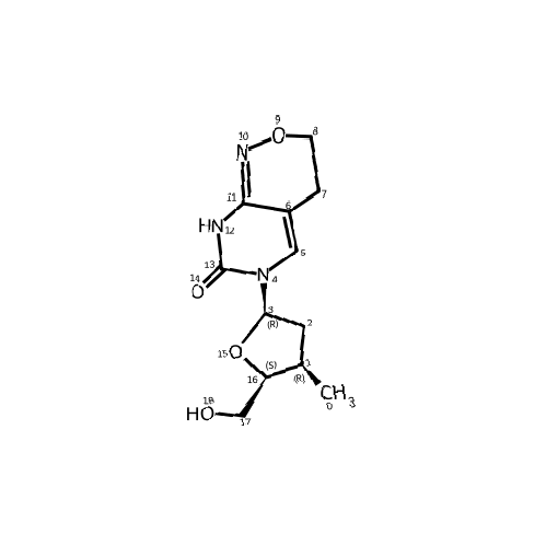 C[C@@H]1C[C@H](N2C=C3CCON=C3NC2=O)O[C@@H]1CO